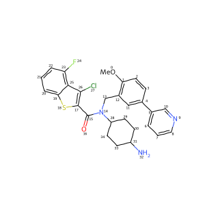 COc1ccc(-c2cccnc2)cc1CN(C(=O)c1sc2cccc(F)c2c1Cl)C1CCC(N)CC1